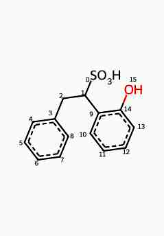 O=S(=O)(O)C(Cc1ccccc1)c1ccccc1O